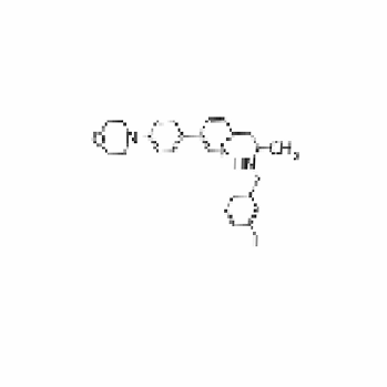 C=C(Cc1ccc(-c2ccc(N3CCOCC3)cc2)cn1)NCc1cccc(F)c1